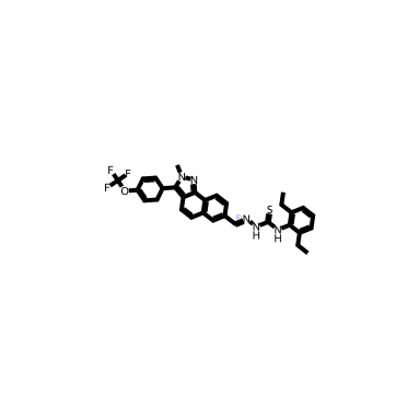 CCc1cccc(CC)c1NC(=S)N/N=C/c1ccc2c(ccc3c(C4C=CC(OC(F)(F)F)=CC4)n(C)nc32)c1